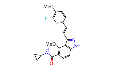 COc1ccc(C=Cc2n[nH]c3ccc(C(=O)NC4CC4)c(OC)c23)cc1F